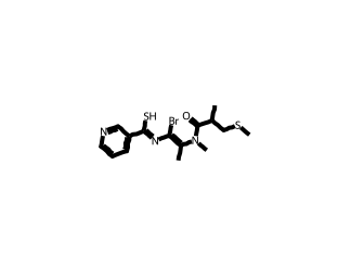 CSCC(C)C(=O)N(C)/C(C)=C(Br)/N=C(\S)c1cccnc1